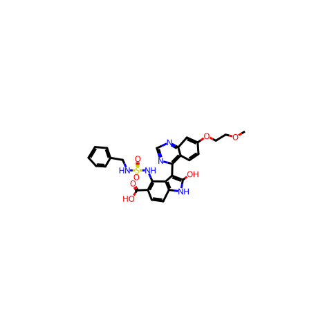 COCCOc1ccc2c(-c3c(O)[nH]c4ccc(C(=O)O)c(NS(=O)(=O)NCc5ccccc5)c34)ncnc2c1